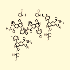 CC(C)Oc1cc2c(OC[C@@H]3CCC(=O)N3)ncc(-c3cccc(=O)[nH]3)c2cc1C(N)=O.CC(C)Oc1cc2c(OC[C@@H]3CCC(=O)N3)ncc(-c3ncc(Cl)cn3)c2cc1C(N)=O.Cc1ccnc(-c2cnc(OC[C@@H]3CCC(=O)N3)c3cc(OC(C)C)c(C(N)=O)cc23)n1.Cc1nccc(-c2cnc(OC[C@@H]3CCC(=O)N3)c3cc(OC(C)C)c(C(N)=O)cc23)n1